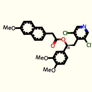 COc1ccc2cc(CC(=O)O[C@@H](Cc3c(Cl)cncc3Cl)c3ccc(OC)c(OC)c3)ccc2c1